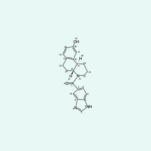 O=C(c1ccc2[nH]cnc2c1)N1CCC[C@@H]2c3cc(O)ccc3CC[C@H]21